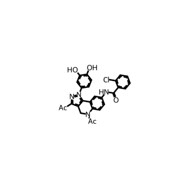 CC(=O)c1nn(-c2ccc(O)c(O)c2)c2c1CN(C(C)=O)c1ccc(NC(=O)c3ccccc3Cl)cc1-2